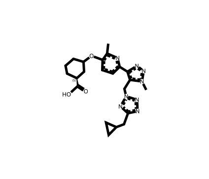 Cc1nc(-c2nnn(C)c2Cn2nnc(CC3CC3)n2)ccc1OC1CCC[C@H](C(=O)O)C1